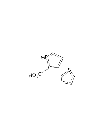 O=C(O)c1ccc[pH]1.c1ccsc1